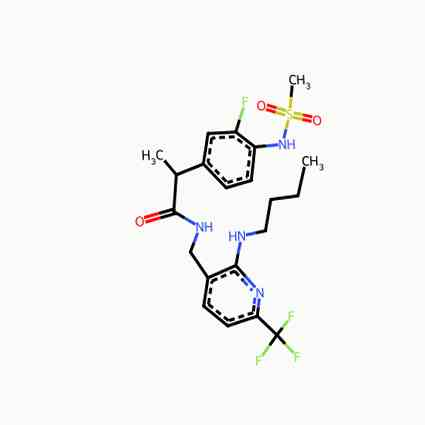 CCCCNc1nc(C(F)(F)F)ccc1CNC(=O)C(C)c1ccc(NS(C)(=O)=O)c(F)c1